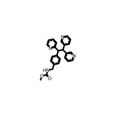 COC(=O)NCc1ccc(C(c2ccccn2)C(c2cccnc2)c2cccnc2)cc1